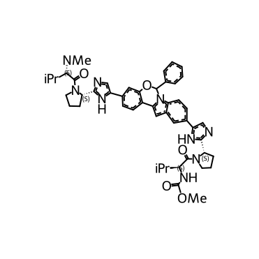 CN[C@H](C(=O)N1CCC[C@H]1c1ncc(-c2ccc3c(c2)OC(c2ccccc2)n2c-3cc3cc(-c4cnc([C@@H]5CCCN5C(=O)[C@@H](NC(=O)OC)C(C)C)[nH]4)ccc32)[nH]1)C(C)C